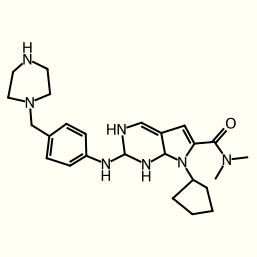 CN(C)C(=O)C1=CC2=CNC(Nc3ccc(CN4CCNCC4)cc3)NC2N1C1CCCC1